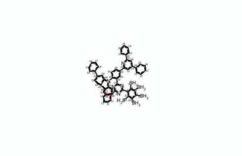 Bc1c(B)c(B)c(-c2nc(-c3ccccc3)nc(-c3cc(-c4cc(-c5ccccc5)cc(-c5ccccc5)n4)ccc3-n3c4ccccc4c4ccc(-c5ccccc5)cc43)n2)c(B)c1B